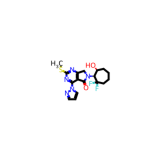 CSc1nc2c(c(-n3cccn3)n1)C(=O)N([C@H]1[C@@H](O)CCCCC1(F)F)C2